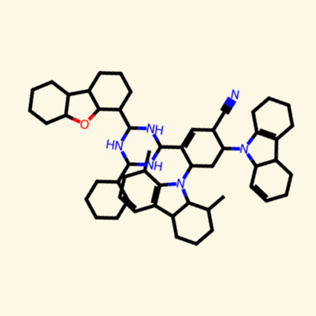 CC1CC=CC2=C1N(C1CC(N3C4=C(CCCC4)C4CCC=CC43)C(C#N)C=C1C1NC(C3CCCCC3)NC(C3CCCC4C5CCCCC5OC34)N1)C1C(C)CCCC21